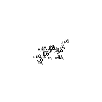 COc1ccc(NC(=O)[C@@H](CCCNC(=N)N)NC(=O)c2cccc(NC(=O)[C@H](N)CCCNC(=N)N)c2)cc1C(=O)N[C@H](CCCNC(=N)N)C(=O)Nc1ccc(OC)c(C(=O)N[C@H](CCCNC(=N)N)C(=O)Nc2cccc(C(N)=O)c2)c1